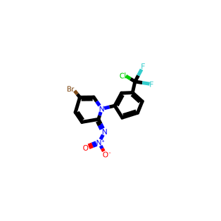 O=[N+]([O-])/N=c1\ccc(Br)cn1-c1cccc(C(F)(F)Cl)c1